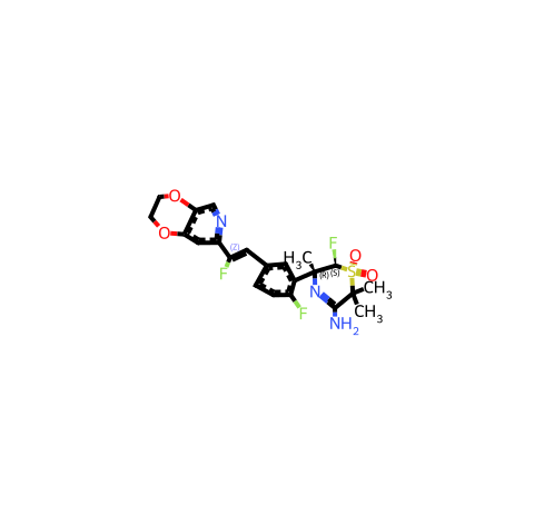 CC1(C)C(N)=N[C@](C)(c2cc(/C=C(\F)c3cc4c(cn3)OCCO4)ccc2F)[C@@H](F)S1(=O)=O